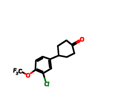 O=C1CCC(c2ccc(OC(F)(F)F)c(Cl)c2)CC1